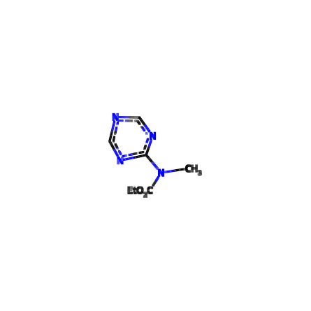 CCOC(=O)N(C)c1ncncn1